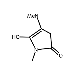 CNC1=C(O)N(C)C(=O)C1